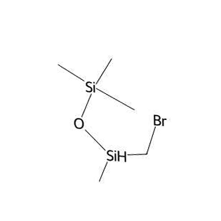 C[SiH](CBr)O[Si](C)(C)C